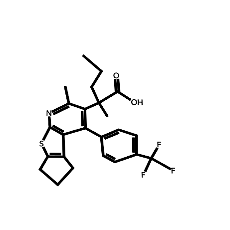 CCCC(C)(C(=O)O)c1c(C)nc2sc3c(c2c1-c1ccc(C(F)(F)F)cc1)CCC3